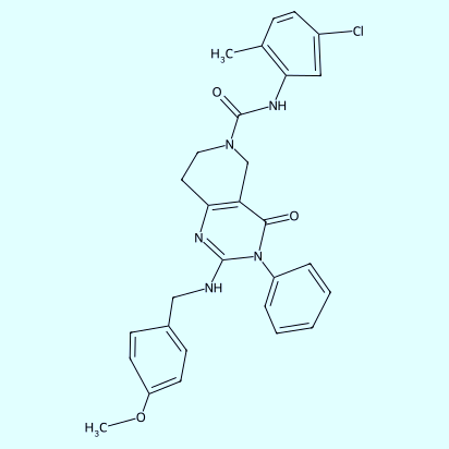 COc1ccc(CNc2nc3c(c(=O)n2-c2ccccc2)CN(C(=O)Nc2cc(Cl)ccc2C)CC3)cc1